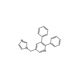 c1ccc(-c2cc(Cn3ccnc3)cnc2-c2ccccc2)cc1